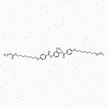 C=CC(=O)OCCCCCCCCOc1ccc(C(=O)Oc2ccc(OC(=O)c3ccc(OCCCCCCCCOC)cc3)c(C)c2)cc1